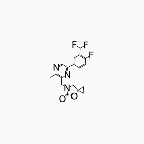 Cc1ncc(-c2ccc(F)c(C(F)F)c2)nc1CN1CC2(CC2)OC1=O